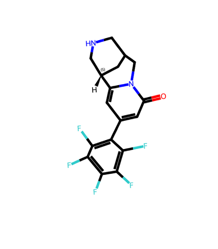 O=c1cc(-c2c(F)c(F)c(F)c(F)c2F)cc2n1CC1CNC[C@@H]2C1